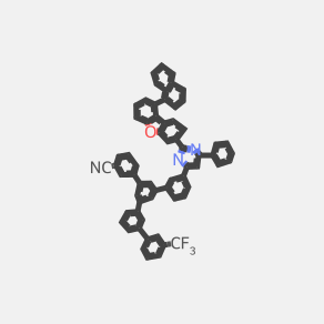 N#Cc1cccc(-c2cc(-c3cccc(-c4cccc(C(F)(F)F)c4)c3)cc(-c3cccc(-c4cc(-c5ccccc5)nc(-c5ccc6c(c5)oc5cccc(-c7cccc8ccccc78)c56)n4)c3)c2)c1